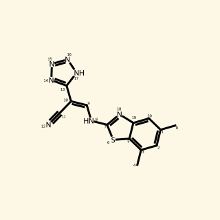 Cc1cc(C)c2sc(N/C=C(\C#N)c3nnn[nH]3)nc2c1